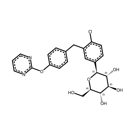 OC[C@H]1O[C@@H](c2ccc(Cl)c(Cc3ccc(Oc4ncccn4)cc3)c2)[C@H](O)[C@@H](O)[C@@H]1O